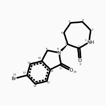 O=C1NCCCC[C@@H]1N1Cc2cc(Br)ccc2C1=O